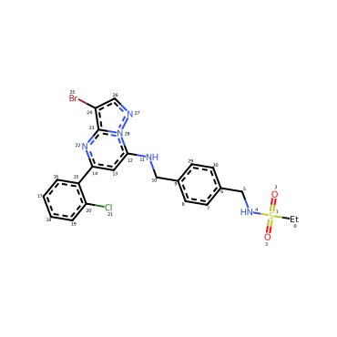 CCS(=O)(=O)NCc1ccc(CNc2cc(-c3ccccc3Cl)nc3c(Br)cnn23)cc1